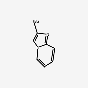 CC(C)(C)c1cn2c[c]ccc2n1